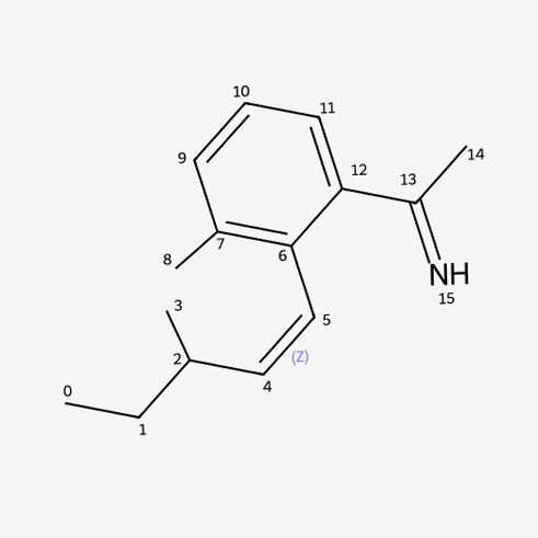 CCC(C)/C=C\c1c(C)cccc1C(C)=N